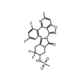 Cc1cc2onc(-n3cc4n(c3=O)C[C@@H](NS(C)(=O)=O)C(F)(F)C4)c2c(-c2c(F)cc(F)cc2F)n1